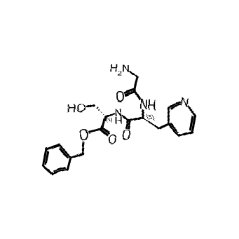 NCC(=O)N[C@@H](Cc1cccnc1)C(=O)N[C@@H](CO)C(=O)OCc1ccccc1